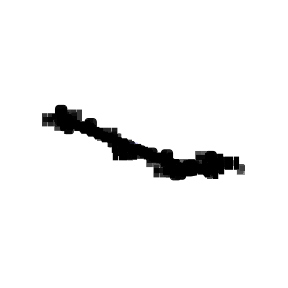 N=N/C(=C\NCCSSCCNCCCC(=O)CCCC[C@@H]1SC[C@@H]2C(=N)C(=O)N[C@H]12)COCCOCCNC(=O)CC[C@H](NC(=O)c1ccc(NCc2cnc3nc(N)nc(O)c3n2)cc1)C(=O)O